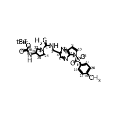 C=C(NCc1cnc2c(ccn2S(=O)(=O)c2ccc(C)cc2)n1)N1CCC(NC(=O)OC(C)(C)C)C1